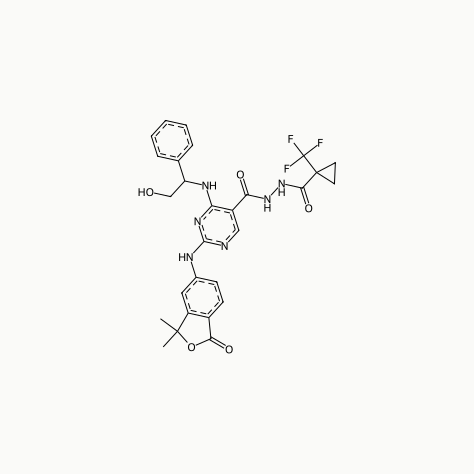 CC1(C)OC(=O)c2ccc(Nc3ncc(C(=O)NNC(=O)C4(C(F)(F)F)CC4)c(NC(CO)c4ccccc4)n3)cc21